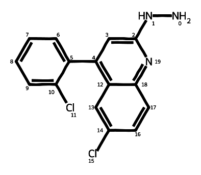 NNc1cc(-c2ccccc2Cl)c2cc(Cl)ccc2n1